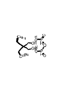 CC(C)COCC(CO)(CO)CO.O=[PH](O)O[PH](=O)O